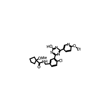 CCOc1ccc(-c2nc(O)nc(-c3cc(CNC(=O)C4(OC)CCCC4)ccc3Cl)n2)cn1